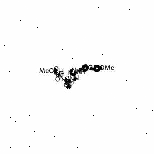 COC(=O)CNC(=O)NC[C@H]1O[C@@H](n2cnc3c(NCc4ccc(OCc5ccc(OC)cc5)cc4)ncnc32)[C@H]2OC(C)(C)OC12